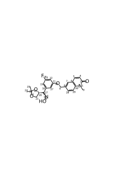 Cn1c(=O)ccc2cc(COc3cc(F)cc(C(=NO)[C@H]4COC(C)(C)O4)c3)ccc21